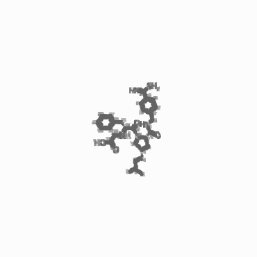 CC(C)CC[C@H]1C[C@@H](C(=O)NCc2ccc(C(=N)N)cc2)N(C(=O)[C@@H](Cc2ccccc2)NCC(=O)O)C1